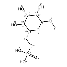 COC1O[C@H](COP(=O)(O)O)[C@@H](O)[C@H](O)[C@@H]1O